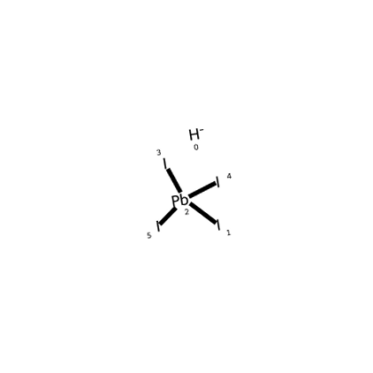 [H-].[I][Pb]([I])([I])[I]